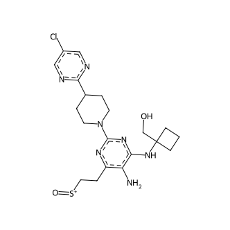 Nc1c(CC[S+]=O)nc(N2CCC(c3ncc(Cl)cn3)CC2)nc1NC1(CO)CCC1